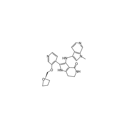 Cn1cc(Nc2c(-c3ccncc3OC[C@H]3CCCO3)[nH]c3c2C(=O)NCC3)c2ccncc21